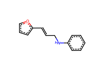 C(=C\c1ccco1)/CNc1ccccc1